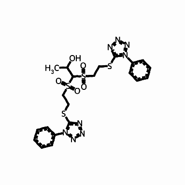 CC(O)C(S(=O)(=O)CCSc1nnnn1-c1ccccc1)S(=O)(=O)CCSc1nnnn1-c1ccccc1